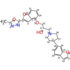 Cc1nnc(-c2cc3c(OC[C@@H](O)CN4CCC(c5ccc6ccoc6c5)CC4)cccc3o2)o1